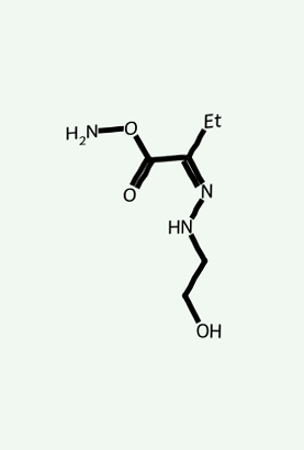 CCC(=NNCCO)C(=O)ON